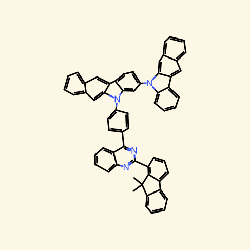 CC1(C)c2ccccc2-c2cccc(-c3nc(-c4ccc(-n5c6cc(-n7c8ccccc8c8cc9ccccc9cc87)ccc6c6cc7ccccc7cc65)cc4)c4ccccc4n3)c21